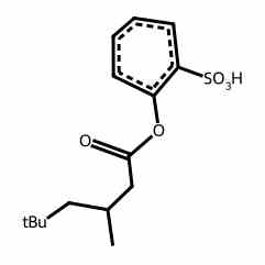 CC(CC(=O)Oc1ccccc1S(=O)(=O)O)CC(C)(C)C